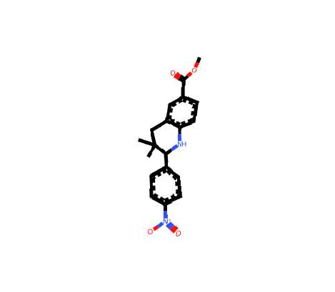 COC(=O)c1ccc2c(c1)CC(C)(C)C(c1ccc([N+](=O)[O-])cc1)N2